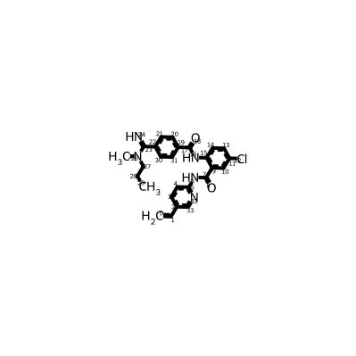 C=Cc1ccc(NC(=O)c2cc(Cl)ccc2NC(=O)c2ccc(C(=N)N(C)CCC)cc2)nc1